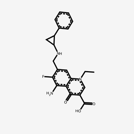 CCn1cc(C(=O)O)c(=O)c2c(N)c(F)c(CNC3CC3c3ccccc3)cc21